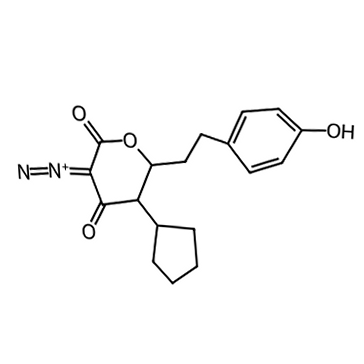 [N-]=[N+]=C1C(=O)OC(CCc2ccc(O)cc2)C(C2CCCC2)C1=O